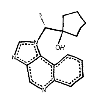 C[C@@H](n1cnc2cnc3ccccc3c21)C1(O)CCCC1